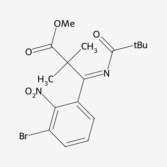 COC(=O)C(C)(C)/C(=N\C(=O)C(C)(C)C)c1cccc(Br)c1[N+](=O)[O-]